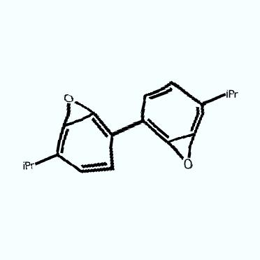 CC(C)c1ccc(-c2ccc(C(C)C)c3c2O3)c2c1O2